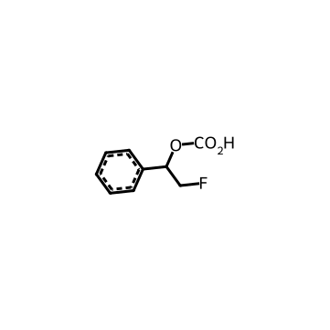 O=C(O)OC(CF)c1ccccc1